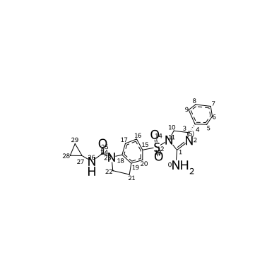 NC1=N[C@@H](c2ccccc2)CN1S(=O)(=O)c1ccc2c(c1)CCN2C(=O)NC1CC1